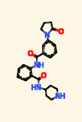 O=C(Nc1ccccc1C(=O)NC1CCNCC1)c1cccc(N2CCCC2=O)c1